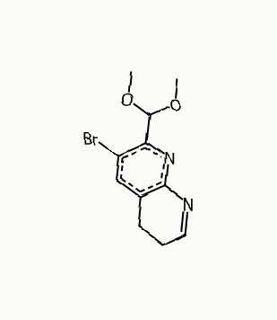 COC(OC)c1nc2c(cc1Br)CCC=N2